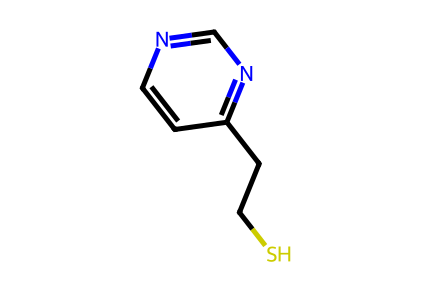 SCCc1ccncn1